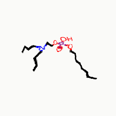 CCCCCCCCOP(=O)(O)OCCN(CCCC)CCCC